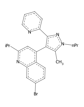 CCCn1nc(-c2ccccn2)c(-c2cc(C(C)C)nc3cc(Br)ccc23)c1C